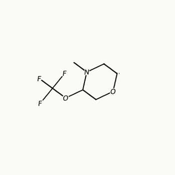 CN1C[CH]OCC1OC(F)(F)F